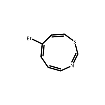 CCc1cccncscc1